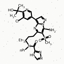 CCCN(C(=O)c1nnc[nH]1)[C@H](CC)CCc1nc2c(-c3cnc(C(C)(C)O)c(Cl)c3)cnn2c(N)c1S(C)(=O)=O